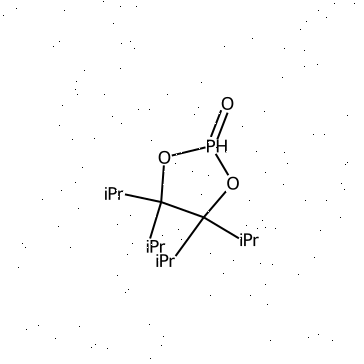 CC(C)C1(C(C)C)O[PH](=O)OC1(C(C)C)C(C)C